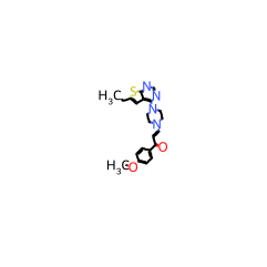 CCc1cc2c(N3CCN(C=CC(=O)c4ccc(OC)cc4)CC3)ncnc2s1